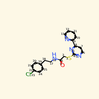 O=C(CSc1nccc(-c2ccccn2)n1)NCCc1ccc(Cl)cc1